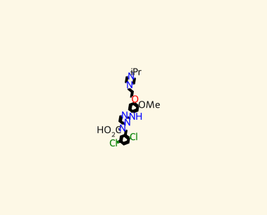 COc1cc(Nc2nccc(N(Cc3cc(Cl)ccc3Cl)C(=O)O)n2)ccc1OCCCN1CCN(C(C)C)CC1